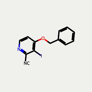 [C-]#[N+]c1nccc(OCc2ccccc2)c1I